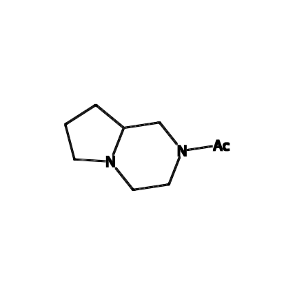 CC(=O)N1CCN2CCCC2C1